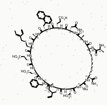 C=C/C(=C\C)CSC[C@H]1NC(=O)[C@@H](C)NC(=O)[C@H](Cc2cccc3ccccc23)NC(=O)[C@H](CCC(=O)O)NC(=O)[C@H](CC(N)=O)NC(=O)[C@@H](C)NC(=O)[C@@H](NC(=O)[C@H](C)N)CSCCSC[C@@H](C(N)=O)NC(=O)[C@H](C(C)(C)C)NC(=O)[C@H](CC(=O)O)NC(=O)[C@H](CC(C=C)[C@H](C)[C@H](C)O)NC(=O)[C@H](Cc2ccccc2)NC(=O)[C@H](CC(=O)O)NC(=O)[C@H](CCC(=O)O)NC1=O